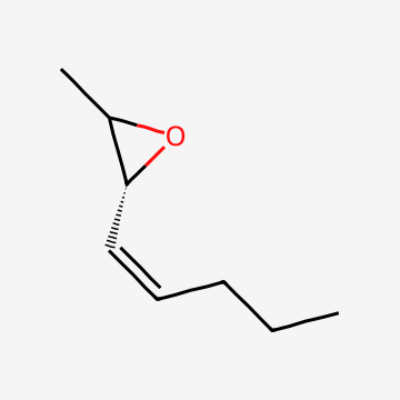 CCC/C=C\[C@H]1OC1C